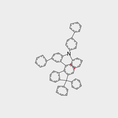 c1ccc(-c2ccc(N(c3ccccc3)c3ccc(-c4ccccc4)cc3-c3cccc4c3-c3ccccc3C4(c3ccccc3)c3ccccc3)cc2)cc1